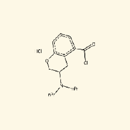 CCCN(CCC)C1COc2cccc(C(=O)Cl)c2C1.Cl